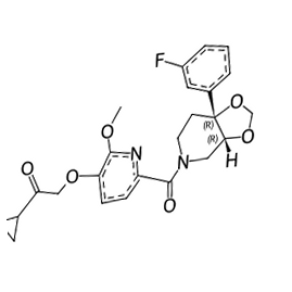 COc1nc(C(=O)N2CC[C@]3(c4cccc(F)c4)OCO[C@@H]3C2)ccc1OCC(=O)C1CC1